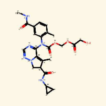 CCCNC(=O)c1ccc(C)c(N(C(=O)OCOC(=O)CO)C2=NC=NN3CC(C(=O)NC4CC4)C(C)=C23)c1